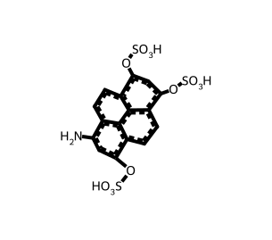 Nc1cc(OS(=O)(=O)O)c2ccc3c(OS(=O)(=O)O)cc(OS(=O)(=O)O)c4ccc1c2c43